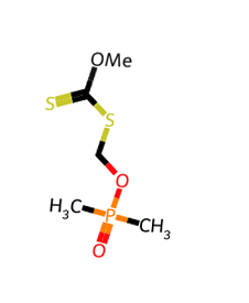 COC(=S)SCOP(C)(C)=O